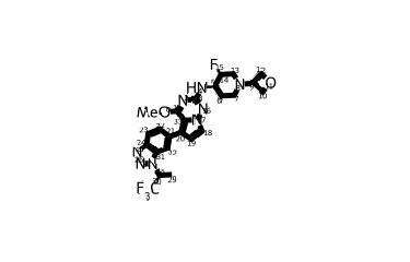 COc1nc(N[C@@H]2CCN(C3COC3)C[C@@H]2F)nn2ccc(-c3ccc4nnn([C@@H](C)C(F)(F)F)c4c3)c12